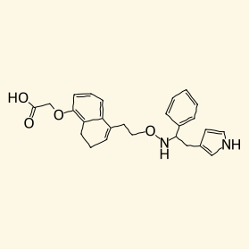 O=C(O)COc1cccc2c1CCC=C2CCONC(Cc1cc[nH]c1)c1ccccc1